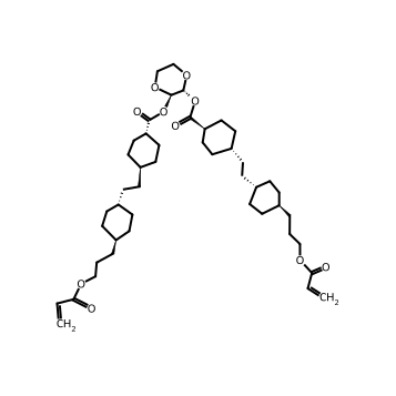 C=CC(=O)OCCC[C@H]1CC[C@H](CC[C@H]2CC[C@H](C(=O)O[C@H]3OCCO[C@@H]3OC(=O)[C@H]3CC[C@H](CC[C@H]4CC[C@H](CCCOC(=O)C=C)CC4)CC3)CC2)CC1